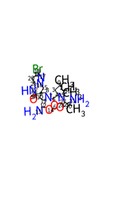 CC(C)CC(C(=O)N1CC2(C[C@H]1C(N)=O)Cn1nc(Br)cc1NC2=O)N(C)C(=O)C(C)N